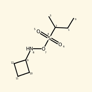 CCC(C)S(=O)(=O)ONC1CCC1